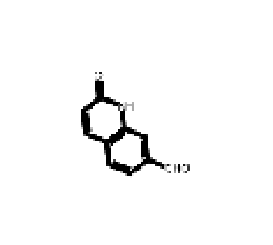 O=Cc1ccc2ccc(=O)[nH]c2c1